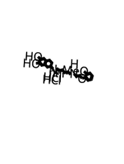 CCCN(CCCCCCNCCOc1ccccc1OC)C1CCc2cc(O)c(O)cc2C1.Cl.Cl